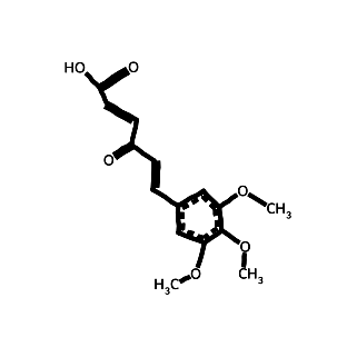 COc1cc(/C=C/C(=O)/C=C/C(=O)O)cc(OC)c1OC